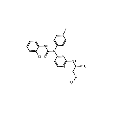 COC[C@H](C)Nc1nccc(N(C(=O)Nc2ccccc2Cl)c2ccc(F)cc2)n1